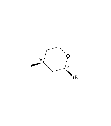 C[C@H]1CCO[C@@H](C(C)(C)C)C1